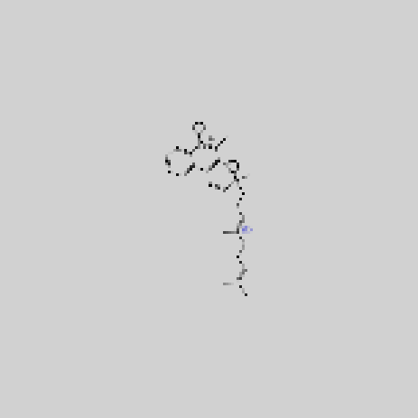 CC(C)=CCC/C(C)=C/CCC1(C)C=Cc2c(c(C)[n+]([O-])c3ccccc23)O1